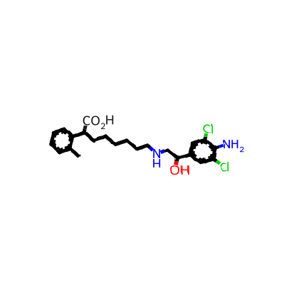 Cc1ccccc1C(CCCCCCNCC(O)c1cc(Cl)c(N)c(Cl)c1)C(=O)O